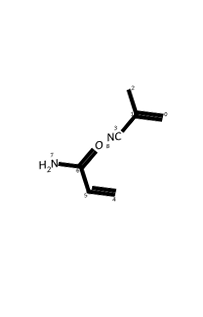 C=C(C)C#N.C=CC(N)=O